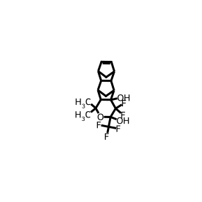 CC1(C)OC(O)(C(F)(F)F)C(F)(F)C2(O)C3CC(C4C5C=CC(C5)C43)C12